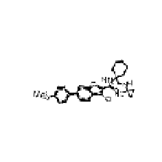 CSc1ccc(-c2ccc3c(Cl)c(C(=O)NC4(CNC5(C#N)CC5)CCCCC4)oc3c2)cc1